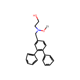 CCON(CCO)Cc1ccc(-c2ccccc2)c(-c2ccccc2)c1